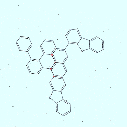 c1ccc(-c2ccccc2-c2c(-c3ccccc3)cccc2N(c2ccc(-c3cccc4c3sc3ccccc34)cc2)c2ccc3c(c2)sc2ccccc23)cc1